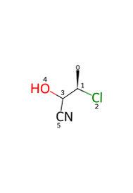 C[C@@H](Cl)C(O)C#N